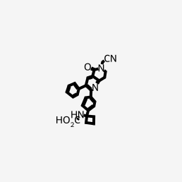 N#CCN1CCc2nc(-c3ccc(C4(NC(=O)O)CCC4)cc3)c(-c3ccccc3)cc2C1=O